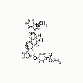 COC(=O)[C@H]1CC[C@H](OC[C@@H]2CCCN2C(=O)Cc2cc(Cl)c(NC(=O)c3cn(C)c4ccccc34)cc2F)CC1